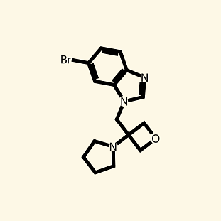 Brc1ccc2ncn(CC3(N4CCCC4)COC3)c2c1